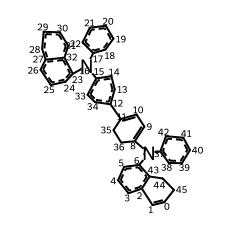 C1=Cc2cccc(N(C3=CC=C(c4ccc(N(c5ccccc5)c5cccc6ccccc56)cc4)CC3)c3ccccc3)c2CC1